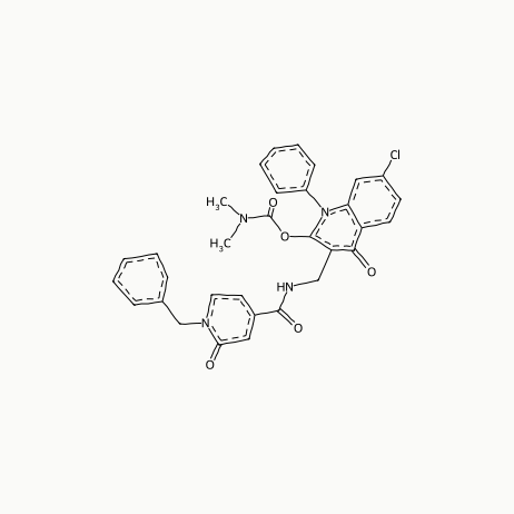 CN(C)C(=O)Oc1c(CNC(=O)c2ccn(Cc3ccccc3)c(=O)c2)c(=O)c2ccc(Cl)cc2n1-c1ccccc1